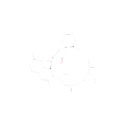 CC/C1=C\C(CO)CC(C)C(OC)C(C)CCCC2(C)C=C(C)C(C)CC23OC(=O)C(=C3O)C(=O)C2(CC)C1C(C)=CC1C(O)CC(=O)C(C)C12